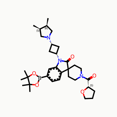 C[C@@H]1CN([C@H]2C[C@@H](N3C(=O)C4(CCN(C(=O)[C@@H]5CCCO5)CC4)c4ccc(B5OC(C)(C)C(C)(C)O5)cc43)C2)C[C@@H]1C